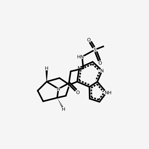 CS(=O)(=O)NCCC(=O)N1[C@@H]2CC[C@@H]1CN(c1ncnc3[nH]ccc13)C2